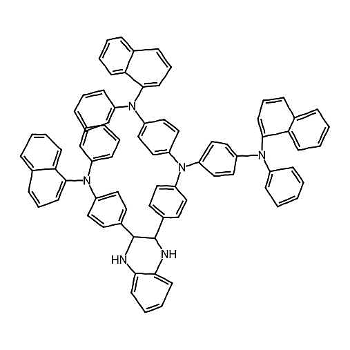 c1ccc(N(c2ccc(C3Nc4ccccc4NC3c3ccc(N(c4ccc(N(c5ccccc5)c5cccc6ccccc56)cc4)c4ccc(N(c5ccccc5)c5cccc6ccccc56)cc4)cc3)cc2)c2cccc3ccccc23)cc1